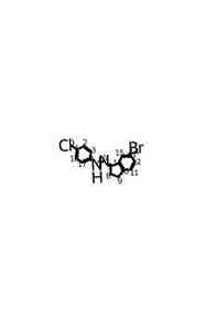 Clc1ccc(NN=C2CCc3ccc(Br)cc32)cc1